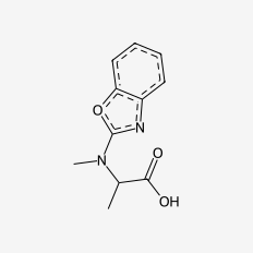 CC(C(=O)O)N(C)c1nc2ccccc2o1